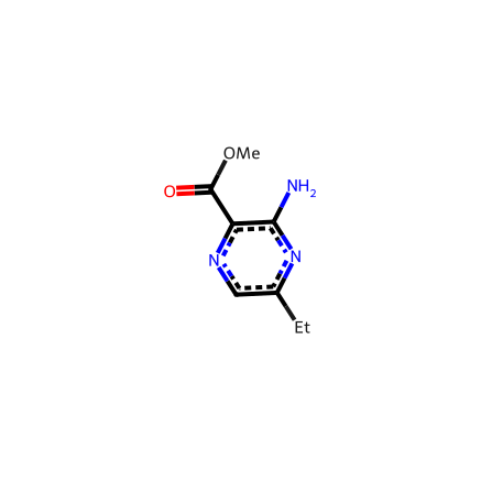 CCc1cnc(C(=O)OC)c(N)n1